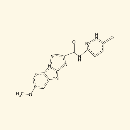 COc1ccc2c(c1)nc1nc(C(=O)Nc3ccc(=O)[nH]n3)ccn12